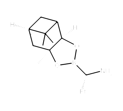 CC[C@@H](N)B1O[C@@H]2C3C[C@H](C[C@]2(C)O1)C3(C)C